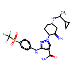 CC(N[C@H]1CC[C@H](n2cc(C(N)=O)c(Nc3ccc(S(=O)(=O)C(F)(F)F)cc3)n2)C(=N)C1)C1CC1